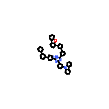 c1ccc(-c2cccc(-c3ccc(C4N=C(c5cccc(-n6c7ccccc7c7ccccc76)c5)N=C(c5cccc(-c6cccc(-c7cccc8c7oc7ccccc78)c6)c5)N4)cc3)c2)cc1